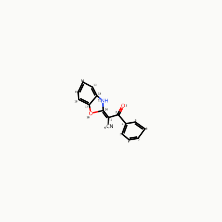 N#CC(C(=O)c1ccccc1)=C1Nc2ccccc2O1